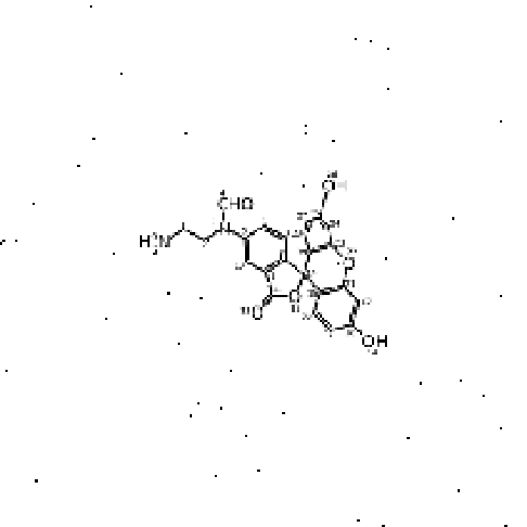 NCCN(C=O)c1ccc2c(c1)C(=O)OC21c2ccc(O)cc2Oc2cc(O)ccc21